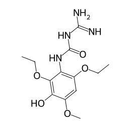 CCOc1cc(OC)c(O)c(OCC)c1NC(=O)NC(=N)N